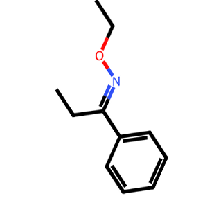 CCO/N=C(\CC)c1ccccc1